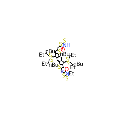 CCCCC(CC)CSC(SCC(CC)CCCC)=C1c2cc3c(cc2-c2sc(/C=C4/SC(=S)N(CC)C4=O)cc21)C(=C(SCC(CC)CCCC)SCC(CC)CCCC)c1cc(CC2SC(=S)NC2=O)sc1-3